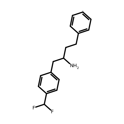 NC(CCc1cc[c]cc1)Cc1ccc(C(F)F)cc1